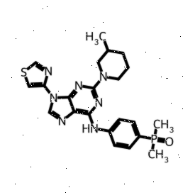 CC1CCCN(c2nc(Nc3ccc(P(C)(C)=O)cc3)c3ncn(-c4cscn4)c3n2)C1